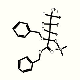 C[Si](C)(C)OC(OCc1ccccc1)(C(=O)OCc1ccccc1)C(F)(F)C(F)(F)C(F)(F)C(F)(F)F